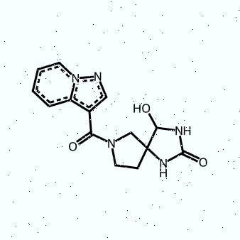 O=C1NC(O)C2(CCN(C(=O)c3cnn4ccccc34)C2)N1